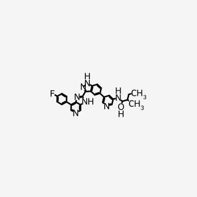 CCC(C)C(O)Nc1cncc(-c2ccc3[nH]nc(-c4nc5c(-c6ccc(F)cc6)cncc5[nH]4)c3c2)c1